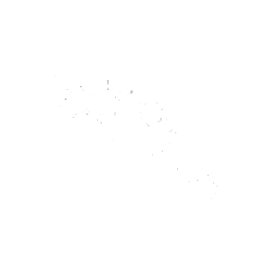 Cc1cc(NC(=O)OCc2cccnc2)ccc1CNC(=O)c1cc(F)ccc1N1CCCC1